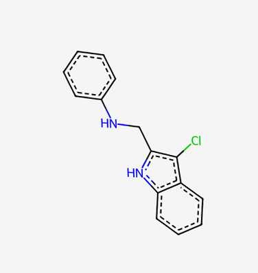 Clc1c(CNc2ccccc2)[nH]c2ccccc12